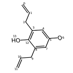 C=CCc1cc([O])cc(CC=C)c1O